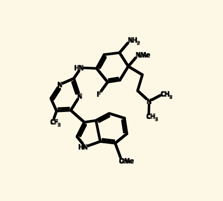 CNC1(CCN(C)C)C=C(F)C(Nc2ncc(C(F)(F)F)c(-c3c[nH]c4c(OC)cccc34)n2)=CC1N